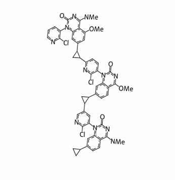 CNc1nc(=O)n(-c2cc(C3CC3c3ccc4c(OC)nc(=O)n(-c5ccc(C6CC6c6cc(OC)c7c(NC)nc(=O)n(-c8cccnc8Cl)c7c6)nc5Cl)c4c3)cnc2Cl)c2cc(C3CC3)ccc12